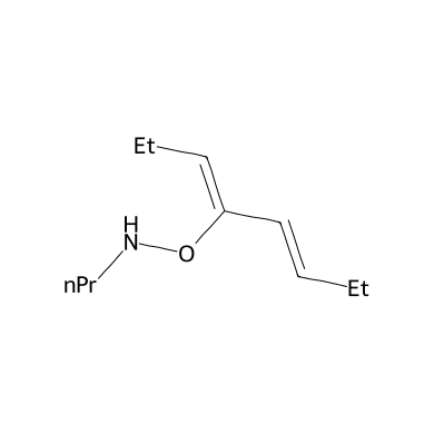 CCC=CC(=CCC)ONCCC